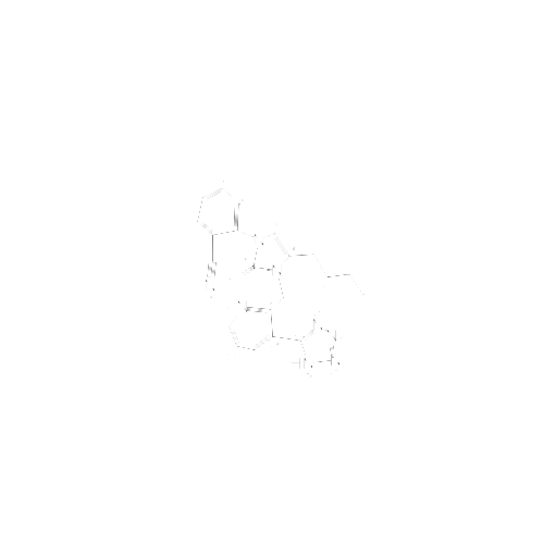 CCCCc1cn(-c2ccccc2C#N)c(=O)n1Cc1ncccc1-c1nnn[nH]1